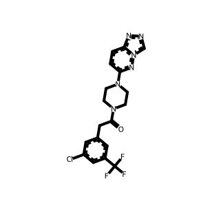 O=C(Cc1cc(Cl)cc(C(F)(F)F)c1)N1CCN(c2ccc3nncn3n2)CC1